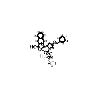 CC(C)(C)OC(=O)N1C[C@H](OCc2ccccc2)C[C@@H]1C(=O)N1Cc2ccccc2C[C@@H]1C(=O)O